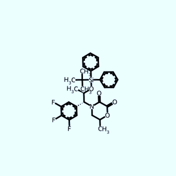 CC1CN([C@H](c2cc(F)c(F)c(F)c2)[C@@H](C)O[Si](c2ccccc2)(c2ccccc2)C(C)(C)C)C(=O)C(=O)O1